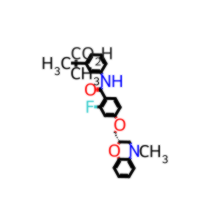 CN1C[C@@H](COc2ccc(C(=O)Nc3cccc(C(C)(C)C(=O)O)c3)c(F)c2)Oc2ccccc21